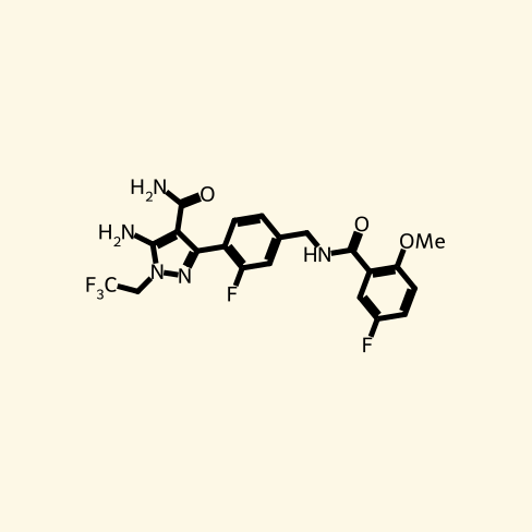 COc1ccc(F)cc1C(=O)NCc1ccc(-c2nn(CC(F)(F)F)c(N)c2C(N)=O)c(F)c1